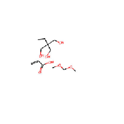 C=CC(=O)O.CCC(CO)(CO)CO.COCOC